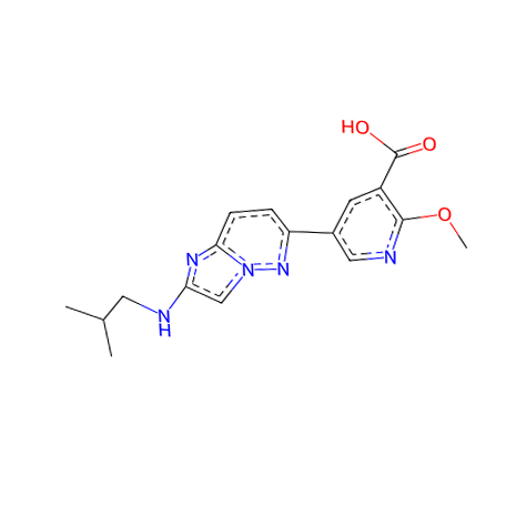 COc1ncc(-c2ccc3nc(NCC(C)C)cn3n2)cc1C(=O)O